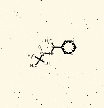 C[C@H](N[S@@+]([O-])C(C)(C)C)c1cncnc1